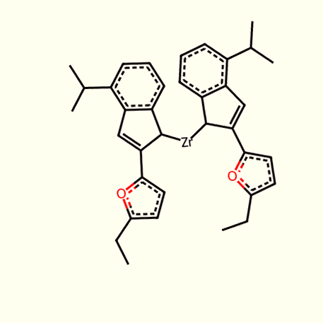 CCc1ccc(C2=Cc3c(C(C)C)cccc3[CH]2[Zr][CH]2C(c3ccc(CC)o3)=Cc3c(C(C)C)cccc32)o1